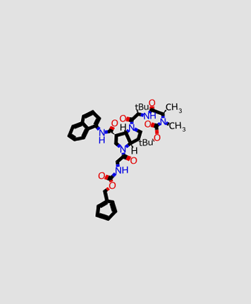 C[C@@H](C(=O)N[C@H](C(=O)N1CC[C@@H]2[C@H]1[C@@H](C(=O)Nc1cccc3ccccc13)CN2C(=O)CNC(=O)OCc1ccccc1)C(C)(C)C)N(C)C(=O)OC(C)(C)C